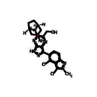 Cn1nc2ccc(-c3n[nH]c4nc(N5[C@@H]6CC[C@H]5C[C@@H](N)C6)c(CO)nc34)c(Cl)c2c1Cl